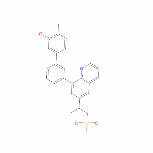 Cc1ccc(-c2cccc(-c3cc(C(C)CS(C)(=O)=O)cc4cccnc34)c2)c[n+]1[O-]